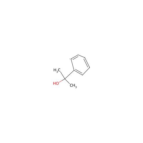 CC(C)(O)c1[c]cccc1